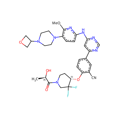 COc1nc(Nc2cc(-c3ccc(O[C@H]4CCN(C(=O)[C@@H](C)O)CC4(F)F)c(C#N)c3)ncn2)ccc1N1CCN(C2COC2)CC1